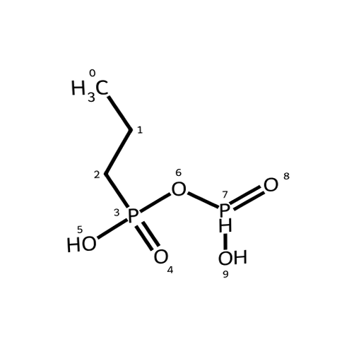 CCCP(=O)(O)O[PH](=O)O